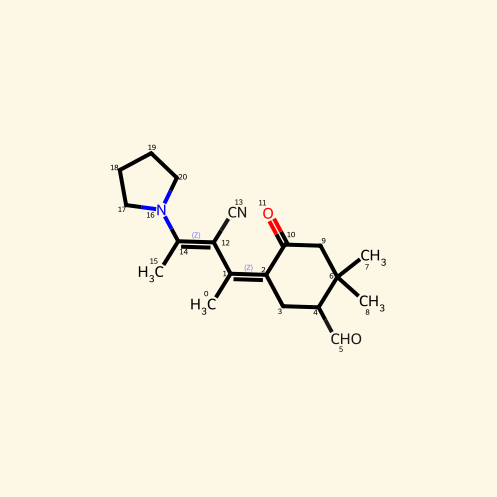 CC(=C1\CC(C=O)C(C)(C)CC1=O)/C(C#N)=C(\C)N1CCCC1